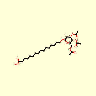 CC(=O)OC[C@H]1O[C@@H](OCCCCCCCCCCCCCCCC(=O)O)[C@H](C)[C@@H](OC(C)=O)[C@@H]1OC(C)=O